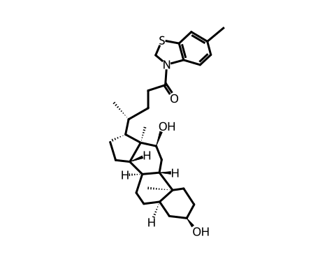 Cc1ccc2c(c1)SCN2C(=O)CC[C@@H](C)[C@H]1CC[C@H]2[C@@H]3CC[C@@H]4C[C@H](O)CC[C@]4(C)[C@H]3C[C@H](O)[C@]12C